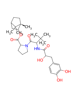 CC(C)(C)C(NC(=O)C(O)Cc1ccc(O)c(O)c1)C(=O)N1CCCC1C(=O)OC1CC2CC[C@@]1(C)C2(C)C